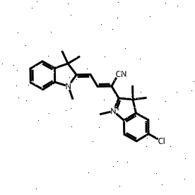 CN1/C(=C\C=C(/C#N)C2=[N+](C)c3ccc(Cl)cc3C2(C)C)C(C)(C)c2ccccc21